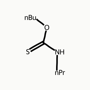 CCCCOC(=S)NCCC